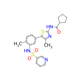 Cc1ccc(-c2sc(NC(=O)C3CCCC3)nc2C)cc1NS(=O)(=O)c1cccnc1